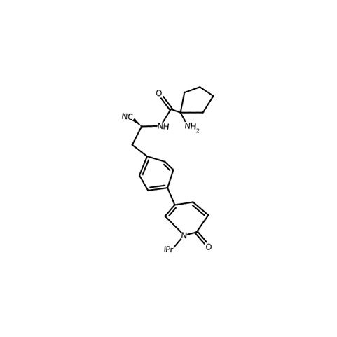 CC(C)n1cc(-c2ccc(C[C@@H](C#N)NC(=O)C3(N)CCCC3)cc2)ccc1=O